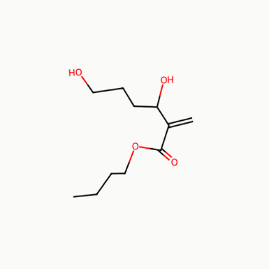 C=C(C(=O)OCCCC)C(O)CCCO